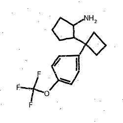 NC1CCCC1C1(c2ccc(OC(F)(F)F)cc2)CCC1